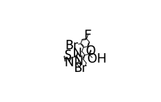 CCN1C(c2nccs2)=NC(c2ccc(F)cc2Br)C(C(=O)O)=C1CBr